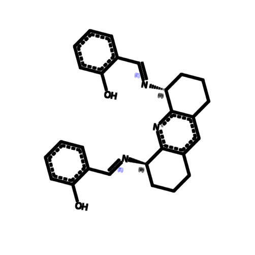 Oc1ccccc1/C=N/[C@@H]1CCCc2cc3c(nc21)[C@H](/N=C/c1ccccc1O)CCC3